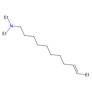 CC/C=C/CCCCCCCCN(CC)CC